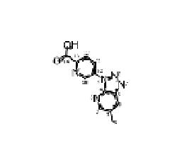 Cc1cnc2c(c1)nnn2-c1ccc(C(=O)O)nc1